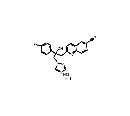 Cl.Cl.N#Cc1ccc2nc(CC(O)(Cn3cncn3)c3ccc(F)cc3)ccc2c1